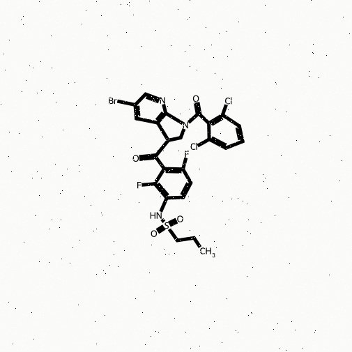 CCCS(=O)(=O)Nc1ccc(F)c(C(=O)C2CN(C(=O)c3c(Cl)cccc3Cl)c3ncc(Br)cc32)c1F